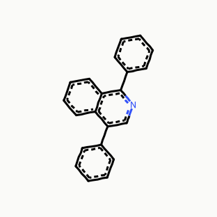 c1ccc(-c2cnc(-c3ccccc3)c3ccccc23)cc1